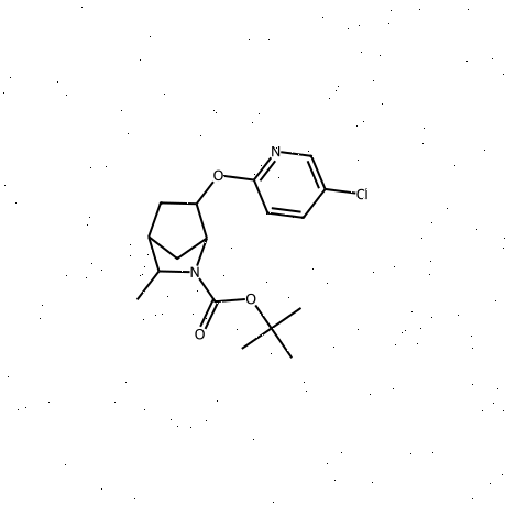 CC1C2CC(Oc3ccc(Cl)cn3)C(C2)N1C(=O)OC(C)(C)C